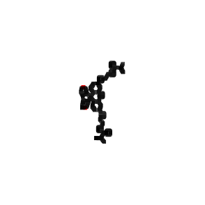 C=C(C)C(=O)OCCOc1ccc2c(c1)Oc1cc(OCCOC(=O)C(=C)C)ccc1C21c2ccccc2-c2ccccc21